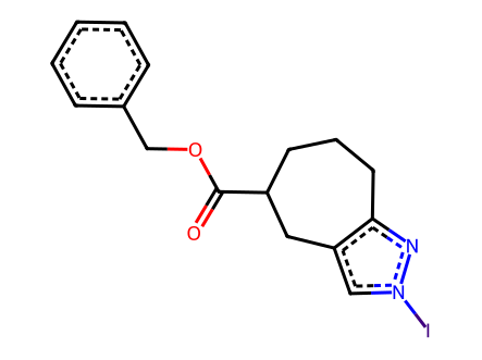 O=C(OCc1ccccc1)C1CCCc2nn(I)cc2C1